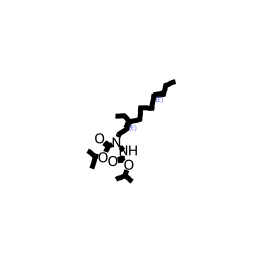 CC/C=C/CCC/C(=C/CN(NC(=O)OC(C)C)C(=O)OC(C)C)CC